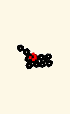 c1ccc(-c2ccc(-c3ccc(N(c4cccc5c4-c4ccccc4C5(c4ccccc4)c4ccccc4)c4cccc5c4C(c4ccccc4)(c4ccccc4)c4ccccc4-5)cc3)cc2)cc1